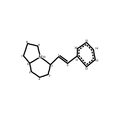 C(=CC1CCCC2CCCN12)c1ccccc1